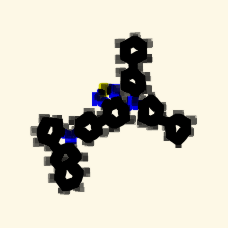 c1ccc(-c2ccc(N(c3ccc(-c4ccccc4)cc3)c3ccc(-c4ccc(-n5c6ccccc6c6cc7ccccc7cc65)cc4)c4nsnc34)cc2)cc1